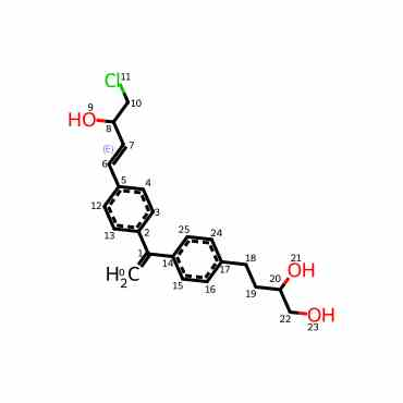 C=C(c1ccc(/C=C/C(O)CCl)cc1)c1ccc(CCC(O)CO)cc1